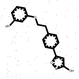 CCCc1cccc(OCCc2ccc(-c3cc(O)no3)cc2)c1